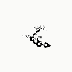 CCOC(=O)c1cc(Cc2ccc(N3CC4CC4C3)nc2CO)nn1COCC[Si](C)(C)C